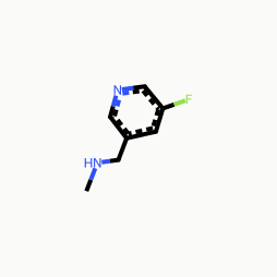 CNCc1cncc(F)c1